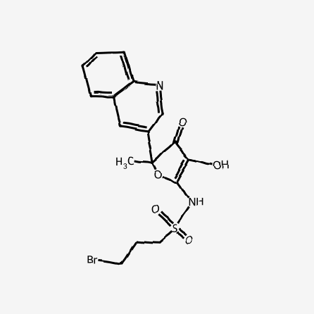 CC1(c2cnc3ccccc3c2)OC(NS(=O)(=O)CCCBr)=C(O)C1=O